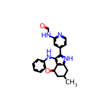 CC1CC(=O)c2c([nH]c(-c3ccnc(NC=O)c3)c2Nc2ccccc2)C1